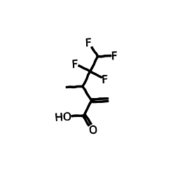 C=C(C(=O)O)C(C)C(F)(F)C(F)F